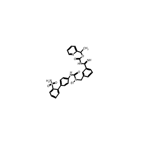 CCN(Cc1cccc(C(=N)NC(=O)OC(C)c2ccccn2)c1)C(=O)Nc1ccc(-c2ccccc2S(N)(=O)=O)cc1